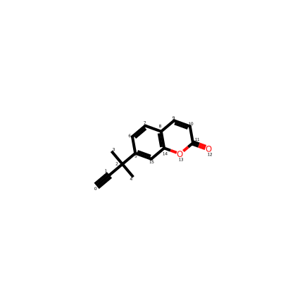 C#CC(C)(C)c1ccc2ccc(=O)oc2c1